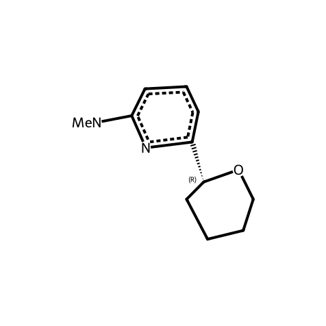 CNc1cccc([C@H]2CCCCO2)n1